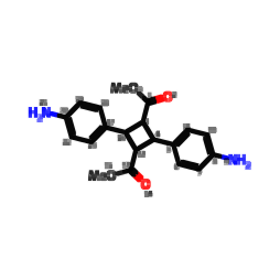 COC(=O)C1C(c2ccc(N)cc2)C(C(=O)OC)C1c1ccc(N)cc1